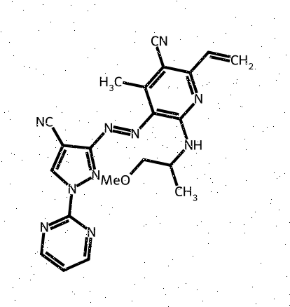 C=Cc1nc(NC(C)COC)c(N=Nc2nn(-c3ncccn3)cc2C#N)c(C)c1C#N